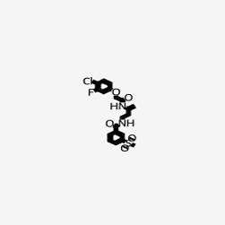 C=C(CCNC(=O)c1cccc(S(C)(=O)=O)c1)NC(=O)COc1ccc(Cl)c(F)c1